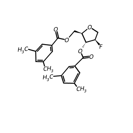 Cc1cc(C)cc(C(=O)OC[C@H]2OC[C@@H](F)[C@@H]2OC(=O)c2cc(C)cc(C)c2)c1